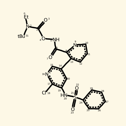 CCN(C(=O)ONC(=O)c1ncccc1-c1cnc(Cl)c(NS(=O)(=O)c2ccccc2)c1)C(C)(C)C